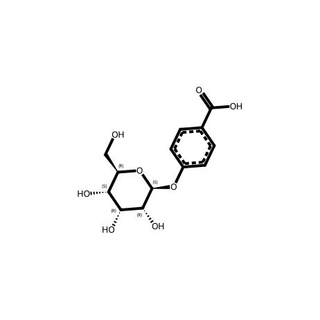 O=C(O)c1ccc(O[C@@H]2O[C@H](CO)[C@@H](O)[C@@H](O)[C@H]2O)cc1